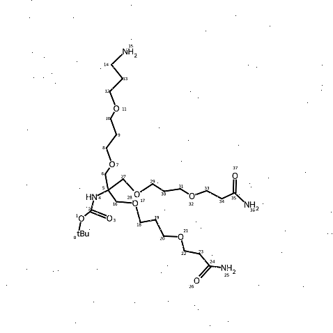 CC(C)(C)OC(=O)NC(COCCCOCCCN)(COCCCOCCC(N)=O)COCCCOCCC(N)=O